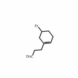 CCC1CCC=C(CCC=O)C1